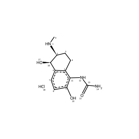 CN[C@H]1CCc2c(ccc(O)c2NC(N)=O)[C@H]1O.Cl